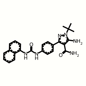 CC(C)(C)n1nc(-c2ccc(NC(=O)Nc3cccc4ccccc34)cc2)c(C(N)=O)c1N